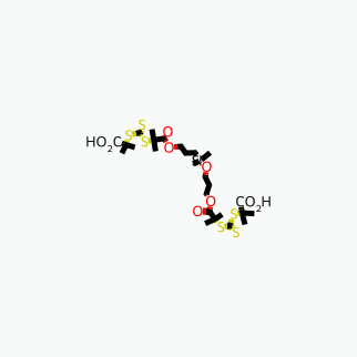 CC(C)(SC(=S)SC(C)(C)C(=O)OCCCO[Si](C)(C)CCCOC(=O)C(C)(C)SC(=S)SC(C)(C)C(=O)O)C(=O)O